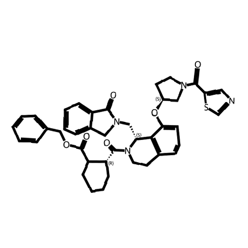 O=C(OCc1ccccc1)C1CCCC[C@H]1C(=O)N1CCc2cccc(O[C@H]3CCN(C(=O)c4cncs4)C3)c2[C@H]1CN1Cc2ccccc2C1=O